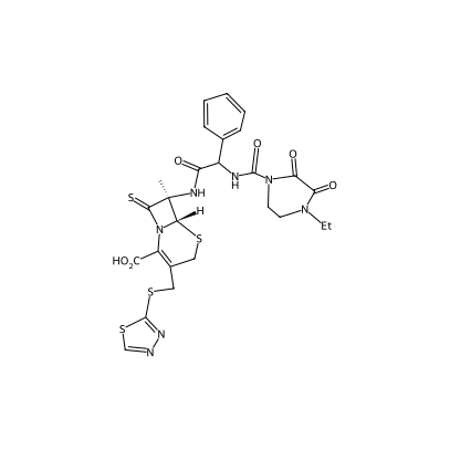 CCN1CCN(C(=O)NC(C(=O)N[C@]2(C)C(=S)N3C(C(=O)O)=C(CSc4nncs4)CS[C@H]32)c2ccccc2)C(=O)C1=O